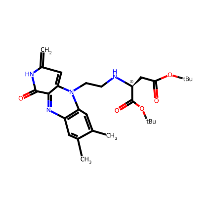 C=c1cc2c(c(=O)[nH]1)=Nc1cc(C)c(C)cc1N2CCN[C@@H](CC(=O)OC(C)(C)C)C(=O)OC(C)(C)C